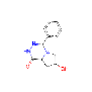 O=C1NN=C(c2ccccc2)N2CC(O)CC12